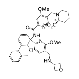 COc1cc(C(=O)NC2(c3ccc(CNC4COC4)c(OC)n3)C=CC=C(c3ccccc3C)C2Cl)ncc1CN1CCCC[C@H]1C(=O)O